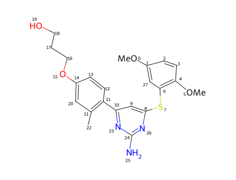 COc1ccc(OC)c(Sc2cc(-c3ccc(OCCCO)cc3C)nc(N)n2)c1